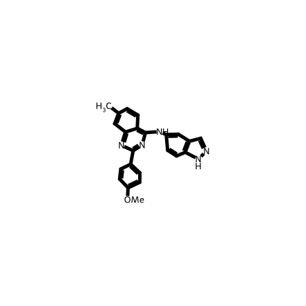 COc1ccc(-c2nc(Nc3ccc4[nH]ncc4c3)c3ccc(C)cc3n2)cc1